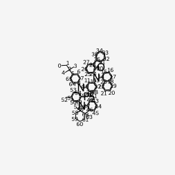 CCC(C)(C)c1ccc(N2c3cc(N(c4cccc5ccccc45)c4cccc5c4oc4ccccc45)ccc3P3(=S)c4cccc5c4N(c4cc(C)cc2c43)C2(C)CCCCC52C)cc1